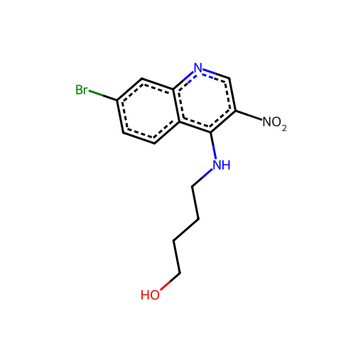 O=[N+]([O-])c1cnc2cc(Br)ccc2c1NCCCCO